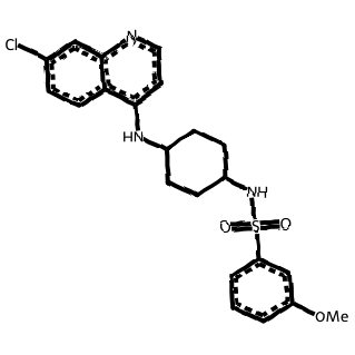 COc1cccc(S(=O)(=O)NC2CCC(Nc3ccnc4cc(Cl)ccc34)CC2)c1